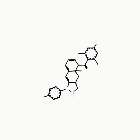 Cc1cc(O)cc(C)c1C(=O)C1C=CC=C2C=C3C(CNN3c3ccc(F)cc3)CC21C